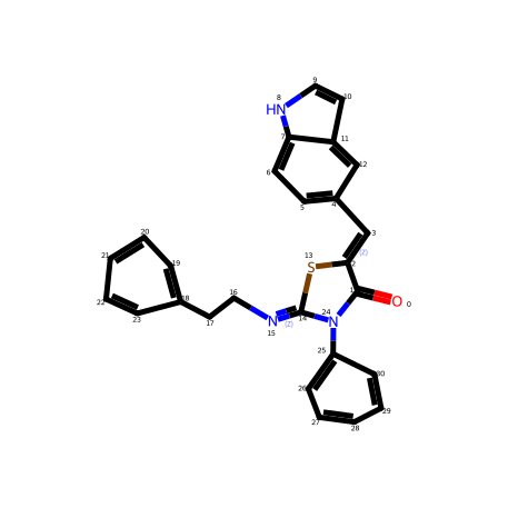 O=C1/C(=C/c2ccc3[nH]ccc3c2)S/C(=N\CCc2ccccc2)N1c1ccccc1